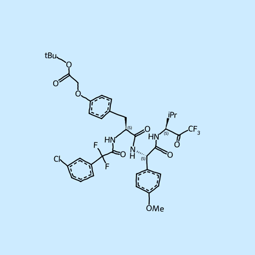 COc1ccc([C@H](NC(=O)[C@H](Cc2ccc(OCC(=O)OC(C)(C)C)cc2)NC(=O)C(F)(F)c2cccc(Cl)c2)C(=O)N[C@H](C(=O)C(F)(F)F)C(C)C)cc1